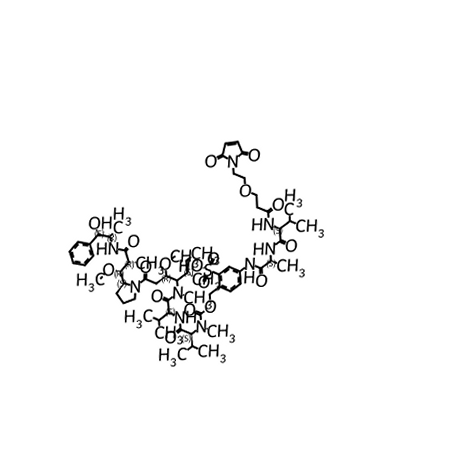 CC[C@H](C)C([C@@H](CC(=O)N1CCC[C@H]1[C@H](OC)[C@@H](C)C(=O)N[C@H](C)[C@@H](O)c1ccccc1)OC)N(C)C(=O)[C@@H](NC(=O)[C@H](C(C)C)N(C)C(=O)OCc1ccc(NC(=O)[C@H](C)NC(=O)[C@@H](NC(=O)CCOCCN2C(=O)C=CC2=O)C(C)C)cc1S(=O)(=O)O)C(C)C